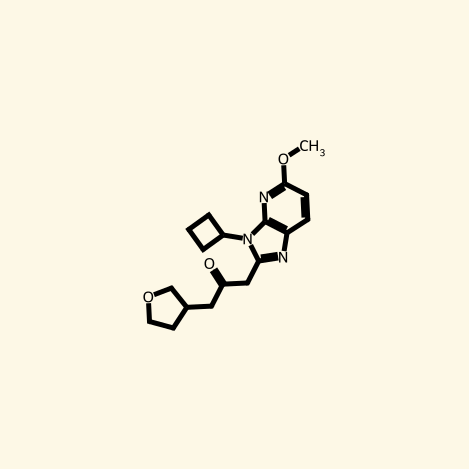 COc1ccc2nc(CC(=O)CC3CCOC3)n(C3CCC3)c2n1